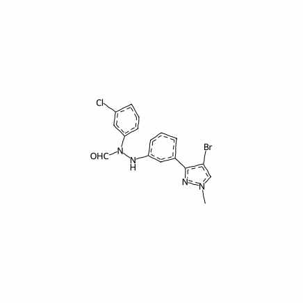 Cn1cc(Br)c(-c2cccc(NN(C=O)c3cccc(Cl)c3)c2)n1